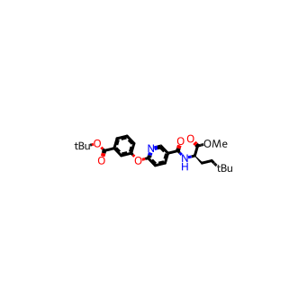 COC(=O)[C@@H](CCC(C)(C)C)NC(=O)c1ccc(Oc2cccc(C(=O)OC(C)(C)C)c2)nc1